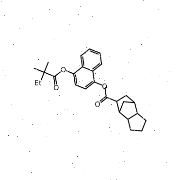 CCC(C)(C)C(=O)Oc1ccc(OC(=O)C2CC3CC2C2CCCC32)c2ccccc12